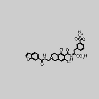 CS(=O)(=O)c1cccc(C[C@H](NC(=O)c2c(Cl)cc3c(c2Cl)CCN(CNC(=O)c2ccc4ccoc4c2)C3)C(=O)O)c1